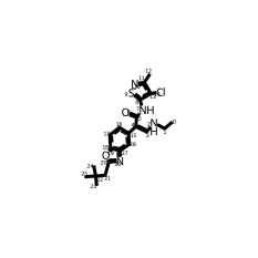 CCNC=C(C(=O)Nc1snc(C)c1Cl)c1ccc2oc(CC(C)(C)C)nc2c1